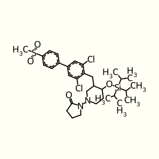 CC(C)[Si](OC1CCN(N2CCCC2=O)CC1Cc1c(Cl)cc(-c2ccc(S(C)(=O)=O)cc2)cc1Cl)(C(C)C)C(C)C